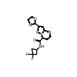 O=C(NC1CC(F)(F)C1)c1ccnc2cc(-c3ncco3)nn12